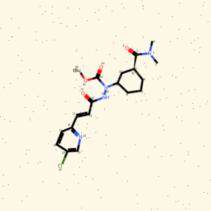 CN(C)C(=O)[C@H]1CCCC(N(NC(=O)C=Cc2ccc(Cl)cn2)C(=O)OC(C)(C)C)C1